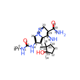 CC(C)NC(=O)Nc1cc2c(N[C@@H]3CC[C@@](C)(O)C3(C)C)c(C(N)=O)cnn2c1